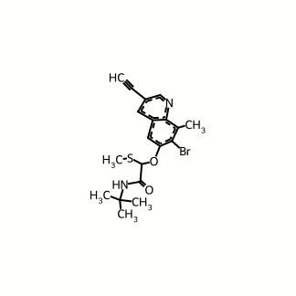 C#Cc1cnc2c(C)c(Br)c(OC(SC)C(=O)NC(C)(C)C)cc2c1